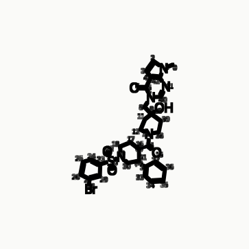 Cn1ccc2c(=O)n(CC3(O)CCN(C(=O)[C@@H]4CCN(S(=O)(=O)c5cccc(Br)c5)C[C@H]4c4ccccc4)CC3)cnc21